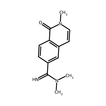 CN(C)C(=N)c1ccc2c(=O)n(C)ccc2c1